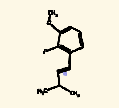 COc1cccc(/C=C/C(C)C)c1F